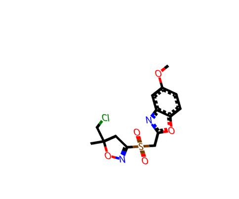 COc1ccc2oc(CS(=O)(=O)C3=NOC(C)(CCl)C3)nc2c1